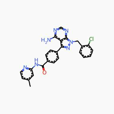 Cc1ccnc(NC(=O)c2ccc(-c3nn(Cc4ccccc4Cl)c4ncnc(N)c34)cc2)c1